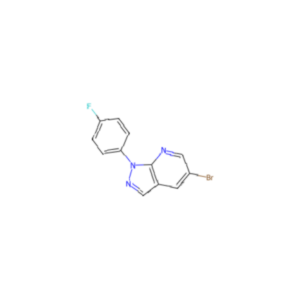 Fc1ccc(-n2ncc3cc(Br)cnc32)cc1